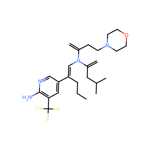 C=C(CCN1CCOCC1)N(/C=C(\CCC)c1cnc(N)c(C(F)(F)F)c1)C(=C)CC(C)C